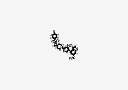 CCOc1cc(-c2ccc(N3CCC4(CC3)CN4S(=O)(=O)c3ccc(C)cc3)nc2)c2c(C#N)cnn2c1